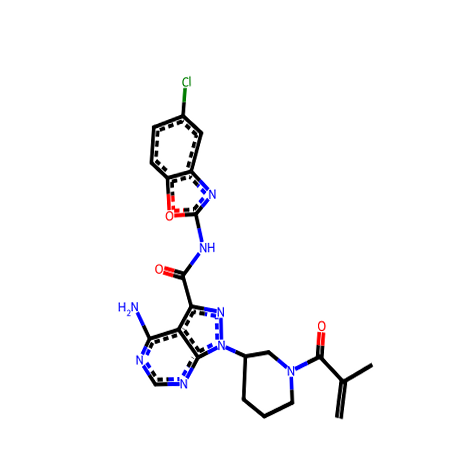 C=C(C)C(=O)N1CCCC(n2nc(C(=O)Nc3nc4cc(Cl)ccc4o3)c3c(N)ncnc32)C1